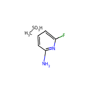 CS(=O)(=O)O.Nc1cccc(F)n1